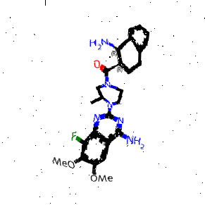 COc1cc2c(N)nc(N3CCN(C(=O)[C@@H]4CCc5ccccc5[C@@H]4N)CC3C)nc2c(F)c1OC